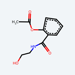 CC(=O)Oc1ccccc1C(=O)NCCO